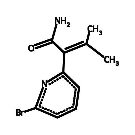 CC(C)=C(C(N)=O)c1cccc(Br)n1